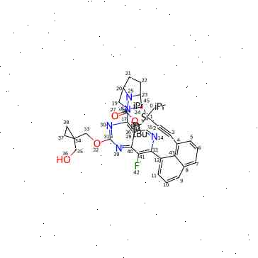 CC(C)[Si](C#Cc1cccc2cccc(-c3ncc4c(N5CC6CCC(C5)N6C(=O)OC(C)(C)C)nc(OCC5(CO)CC5)nc4c3F)c12)(C(C)C)C(C)C